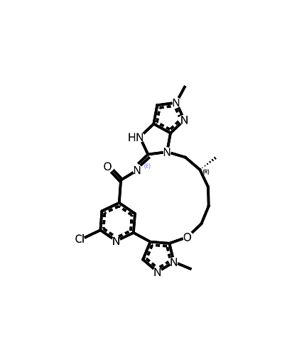 C[C@@H]1CCCOc2c(cnn2C)-c2cc(cc(Cl)n2)C(=O)/N=C2\Nc3cn(C)nc3N2C1